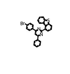 Brc1ccc(-c2cc(-c3ccccc3)nc(-c3cccc4sc5ccccc5c34)n2)cc1